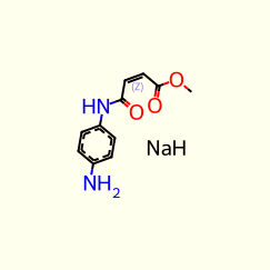 COC(=O)/C=C\C(=O)Nc1ccc(N)cc1.[NaH]